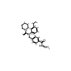 C=C(N1CCCCC1)N(Cc1ccc(C(=O)NN)cc1)c1cccc(CC)c1